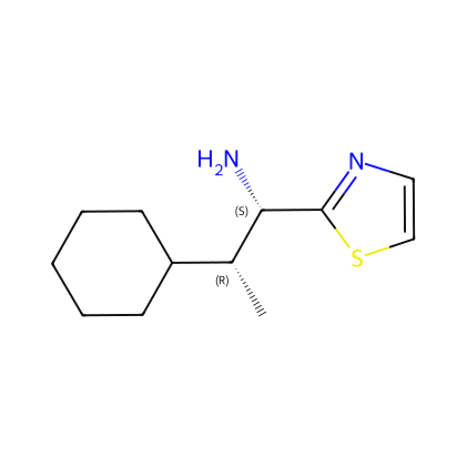 C[C@H](C1CCCCC1)[C@H](N)c1nccs1